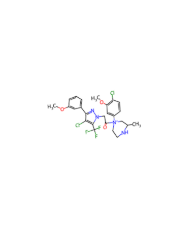 COc1cccc(-c2nn(CC(=O)[N+]3(c4ccc(Cl)c(OC)c4)CCNC(C)C3)c(C(F)(F)F)c2Cl)c1